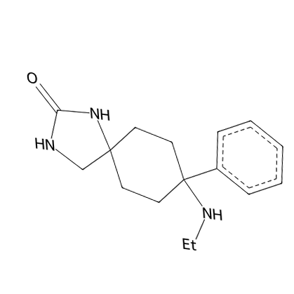 CCNC1(c2ccccc2)CCC2(CC1)CNC(=O)N2